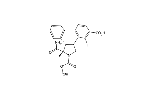 CC(C)(C)OC(=O)N1CC(c2cccc(C(=O)O)c2F)[C@@H](c2ccccc2)[C@@]1(C)C(N)=O